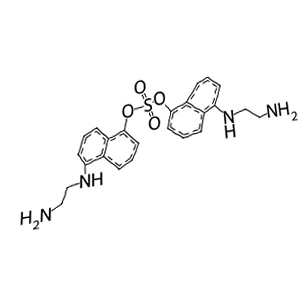 NCCNc1cccc2c(OS(=O)(=O)Oc3cccc4c(NCCN)cccc34)cccc12